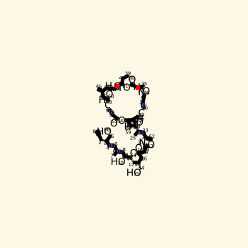 C#CC[C@H](/C=C/C(C)=C/[C@@H](O)[C@H]1C[C@@H](CO)C[C@@](O)(Cc2nc(/C=C(\C)[C@@H]3O[C@@H]4C/C=C/c5nc(co5)[C@H]5OCC[C@@H](C[C@H]6CC(=C)C[C@H](C/C=C\C(=O)O[C@@H]([C@H]4C)[C@H]3C)O6)O5)co2)O1)CO